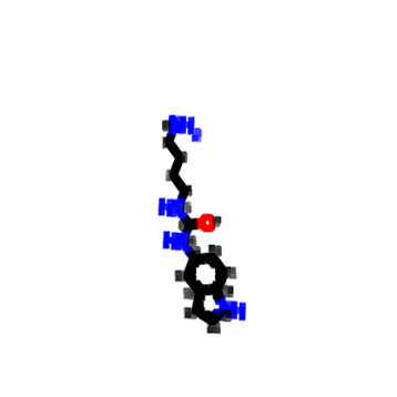 NCCCCNC(=O)Nc1ccc2[nH]ccc2c1